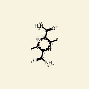 Cc1nc(C(N)=O)c(C)nc1C(N)=O